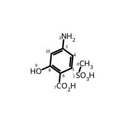 CS(=O)(=O)O.Nc1ccc(C(=O)O)c(O)c1